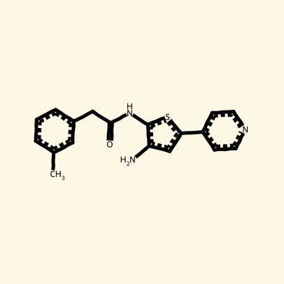 Cc1cccc(CC(=O)Nc2sc(-c3ccncc3)cc2N)c1